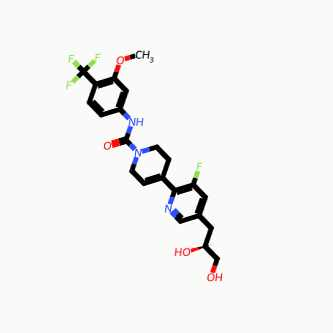 COc1cc(NC(=O)N2CC=C(c3ncc(C[C@H](O)CO)cc3F)CC2)ccc1C(F)(F)F